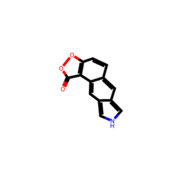 O=c1ooc2ccc3cc4c[nH]cc4cc3c12